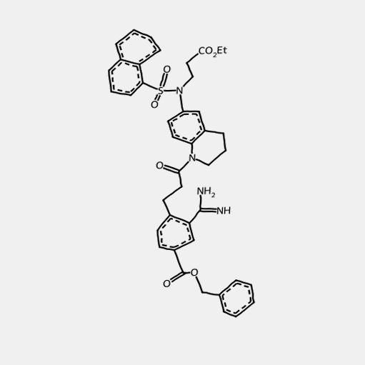 CCOC(=O)CCN(c1ccc2c(c1)CCCN2C(=O)CCc1ccc(C(=O)OCc2ccccc2)cc1C(=N)N)S(=O)(=O)c1cccc2ccccc12